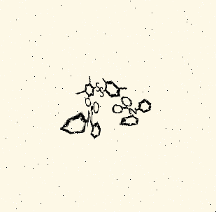 Cc1cc(C)c(SSc2cc(OC(=O)N(c3ccccc3)c3ccccc3)c(C)cc2C)cc1OC(=O)N(c1ccccc1)c1ccccc1